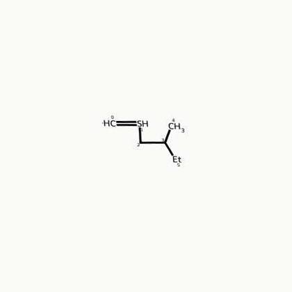 [CH]=[SH]CC(C)CC